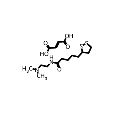 CN(C)CCNC(=O)CCCCC1CCSS1.O=C(O)C=CC(=O)O